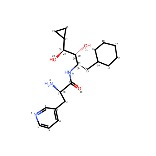 N[C@H](Cc1cccnc1)C(=O)N[C@@H](CC1CCCCC1)[C@@H](O)[C@@H](O)C1CC1